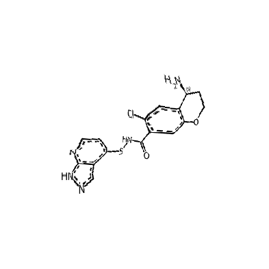 N[C@H]1CCOc2cc(C(=O)NSc3ccnc4[nH]ncc34)c(Cl)cc21